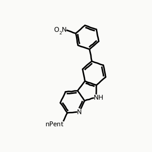 CCCCCc1ccc2c(n1)[nH]c1ccc(-c3cccc([N+](=O)[O-])c3)cc12